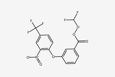 O=C(OOC(F)F)c1cccc(Oc2ccc(C(F)(F)F)cc2[N+](=O)[O-])c1